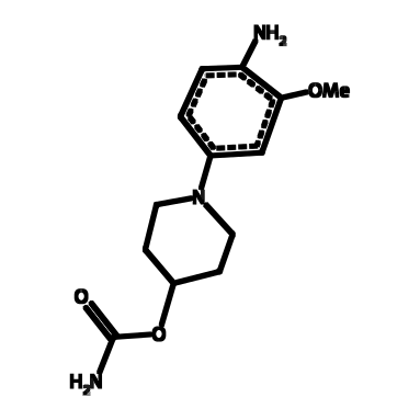 COc1cc(N2CCC(OC(N)=O)CC2)ccc1N